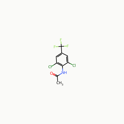 CC(=O)Nc1c(Cl)cc(C(F)(F)F)cc1Cl